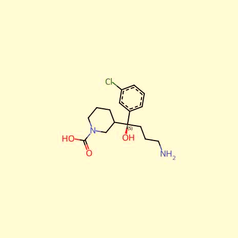 NCCC[C@@](O)(c1cccc(Cl)c1)C1CCCN(C(=O)O)C1